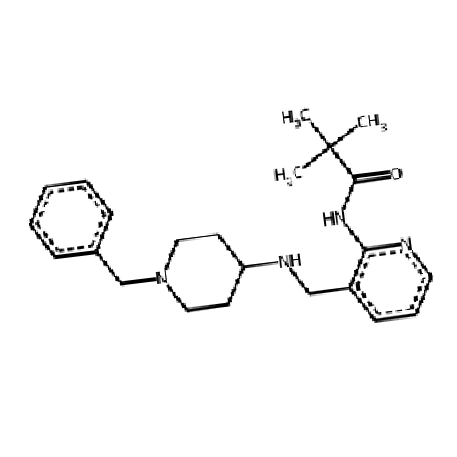 CC(C)(C)C(=O)Nc1ncccc1CNC1CCN(Cc2ccccc2)CC1